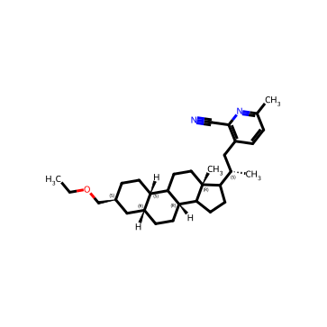 CCOC[C@H]1CC[C@@H]2C3CC[C@@]4(C)C(CCC4[C@@H](C)Cc4ccc(C)nc4C#N)[C@@H]3CC[C@@H]2C1